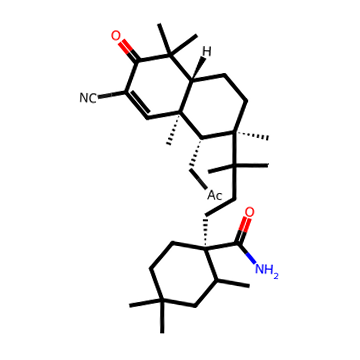 CC(=O)C[C@@H]1[C@@]2(C)C=C(C#N)C(=O)C(C)(C)[C@@H]2CC[C@@]1(C)C(C)(C)CC[C@@]1(C(N)=O)CCC(C)(C)CC1C